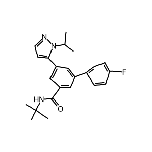 CC(C)n1nccc1-c1cc(C(=O)NC(C)(C)C)cc(-c2ccc(F)cc2)c1